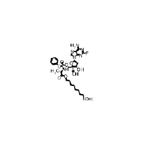 C#C[C@]1(CO[P@](=O)(N[C@@H](C)C(=O)OCCCCCCCCCCCCCCCCCC)Oc2ccccc2)O[C@@H](n2cnc3c(N)nc(F)nc32)C[C@@H]1O